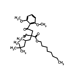 CCCCCCCCOC(=O)C(CC(=O)c1c(OC)cccc1OC)(CC(C)CC(C)(C)C)P=O